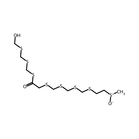 C[S+]([O-])CCSCSCSCSCC(=O)SCSCSCO